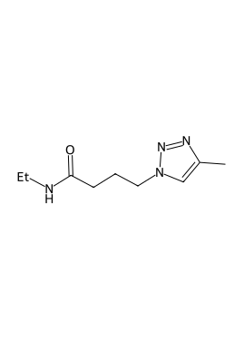 CCNC(=O)CCCn1cc(C)nn1